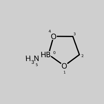 B1OCCO1.N